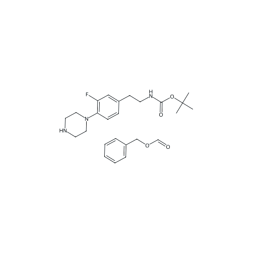 CC(C)(C)OC(=O)NCCc1ccc(N2CCNCC2)c(F)c1.O=COCc1ccccc1